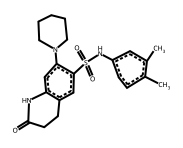 Cc1ccc(NS(=O)(=O)c2cc3c(cc2N2CCCCC2)NC(=O)CC3)cc1C